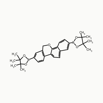 CC1(C)OB(c2ccc3c(c2)COc2c-3ccc3cc(B4OC(C)(C)C(C)(C)O4)ccc23)OC1(C)C